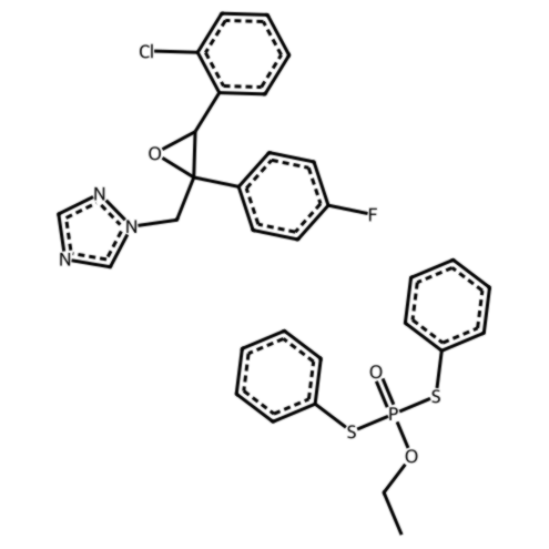 CCOP(=O)(Sc1ccccc1)Sc1ccccc1.Fc1ccc(C2(Cn3cncn3)OC2c2ccccc2Cl)cc1